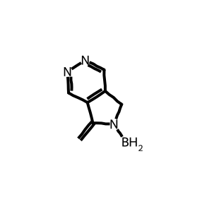 BN1Cc2cnncc2C1=C